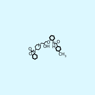 Cc1ccc(C(=O)Nc2ccccc2OCC(O)CN2CCC(n3c(=O)oc4ccccc43)CC2)cc1